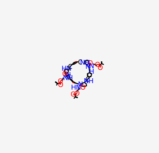 C=C(C)C(=O)OCCNC(=O)N1Cc2ccc(cc2)CNC2CCCCC2N(C(=O)NCCOC(=O)C(=C)C)Cc2ccc(cc2)CN(C(=O)NCCOC(=O)C(=C)C)C2CCCCC2NCc2ccc(cc2)CNC2CCCCC21